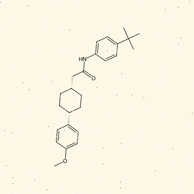 COc1ccc([C@H]2CC[C@@H](CC(=O)Nc3ccc(C(C)(C)C)cc3)CC2)cc1